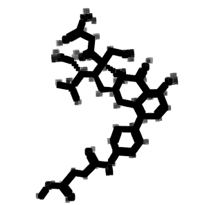 COC(=O)CCC(=O)Nc1ccc(-c2ccc(O)c3c2C[C@@H](C[C@@H]([C@@H](CO)N(C)C)[C@](O)(CO)C(=O)CC(N)=O)CC3=O)cc1